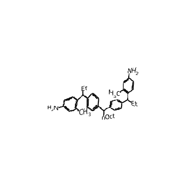 CCCCCCCCC(c1ccc(C(CC)c2ccc(N)cc2C)cc1)c1ccc(C(CC)c2ccc(N)cc2C)cc1